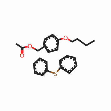 CCCCOc1ccc(COC(C)=O)cc1.c1ccc(Sc2ccccc2)cc1